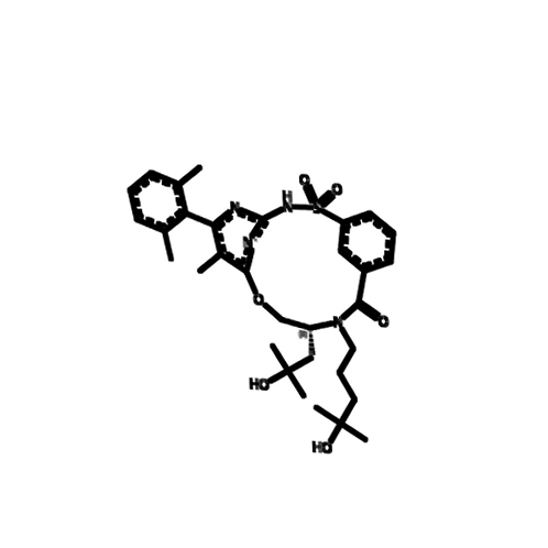 Cc1cccc(C)c1-c1nc2nc(c1C)OC[C@@H](CC(C)(C)O)N(CCCC(C)(C)O)C(=O)c1cccc(c1)S(=O)(=O)N2